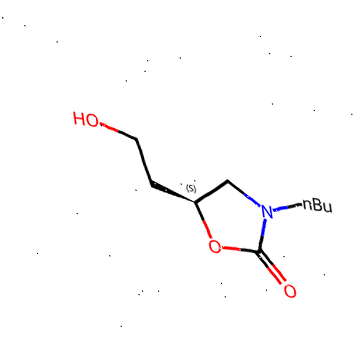 CCCCN1C[C@H](CCO)OC1=O